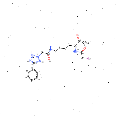 COC(=O)[C@H](CCCCNC(=O)Cn1nnc(-c2ccccc2)n1)NC(=O)CI